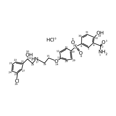 Cl.NC(=O)c1cc(S(=O)(=O)c2ccc(OCCNC[C@@H](O)c3cccc(Cl)c3)cc2)ccc1O